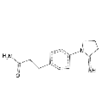 N=C1CCCN1c1ccc(CCC(N)=O)cc1